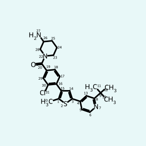 Cc1sc(-c2ccnc(C(C)(C)C)c2)cc1-c1ccc(C(=O)N2CCCC(N)C2)cc1Cl